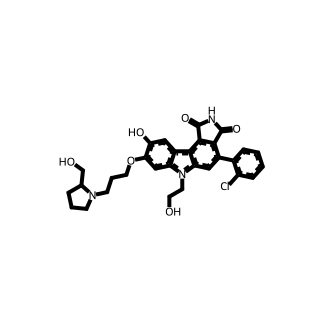 O=C1NC(=O)c2c1c(-c1ccccc1Cl)cc1c2c2cc(O)c(OCCCN3CCCC3CO)cc2n1CCO